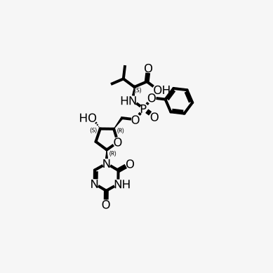 CC(C)[C@H](NP(=O)(OC[C@H]1O[C@@H](n2cnc(=O)[nH]c2=O)C[C@@H]1O)Oc1ccccc1)C(=O)O